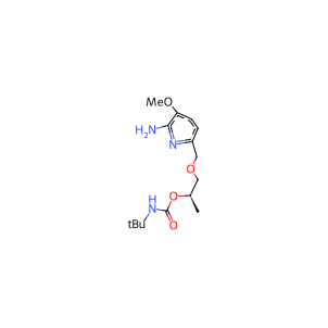 COc1ccc(COC[C@@H](C)OC(=O)NC(C)(C)C)nc1N